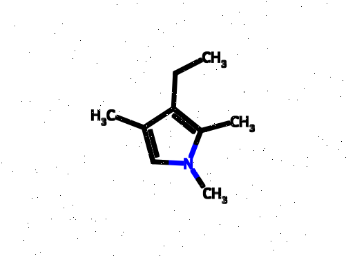 CCc1c(C)cn(C)c1C